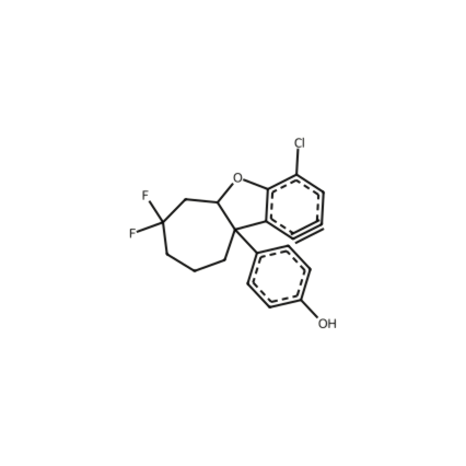 Oc1ccc(C23CCCC(F)(F)CC2Oc2c3c#ccc2Cl)cc1